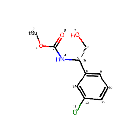 CC(C)(C)OC(=O)N[C@H](CO)c1cccc(Cl)c1